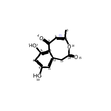 C/C1=C/C(=O)c2c(O)cc(O)cc2CC(=O)O1